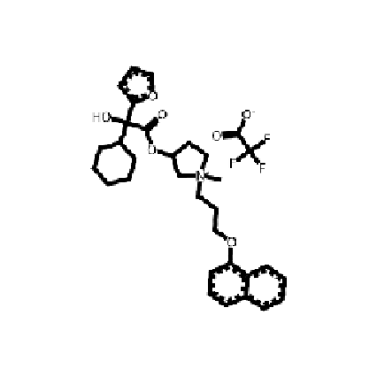 C[N+]1(CCCOc2cccc3ccccc23)CCC(OC(=O)C(O)(c2ccco2)C2CCCCC2)C1.O=C([O-])C(F)(F)F